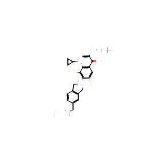 NCc1ccc2c(c1)CN(c1c(F)cc3c(=O)c(C(=O)O)cn(C4CC4)c3c1F)C2